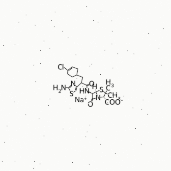 CC1(C)S[C@@H]2[C@H](NC(=O)C(CC3CC=C(Cl)CC3)c3csc(N)n3)C(=O)N2[C@H]1C(=O)[O-].[Na+]